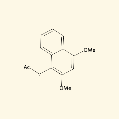 COc1cc(OC)c2ccccc2c1[CH]C(C)=O